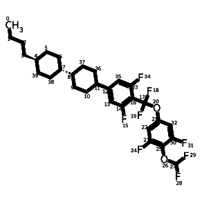 CCCC[C@H]1CC[C@H](C2CCC(c3cc(F)c(C(F)(F)Oc4cc(F)c(OC(F)F)c(F)c4)c(F)c3)CC2)CC1